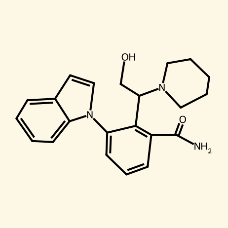 NC(=O)c1cccc(-n2ccc3ccccc32)c1C(CO)N1CCCCC1